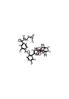 Cc1ccc(OCc2ccc(C(=O)N(C)CCN(C)C)cc2C)c(-c2csc(N3C[C@@H]4CC[C@@H](C3)C4C(=O)O)n2)c1